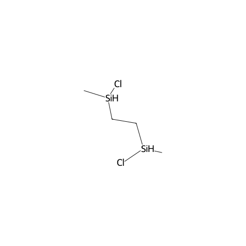 C[SiH](Cl)CC[SiH](C)Cl